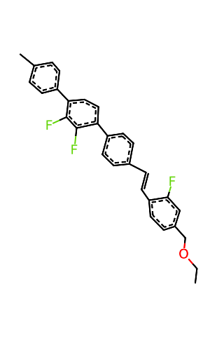 CCOCc1ccc(/C=C/c2ccc(-c3ccc(-c4ccc(C)cc4)c(F)c3F)cc2)c(F)c1